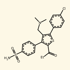 CCC(=O)c1sc(-c2ccc(Cl)cc2)c(CN(C)C)c1-c1ccc(S(N)(=O)=O)cc1